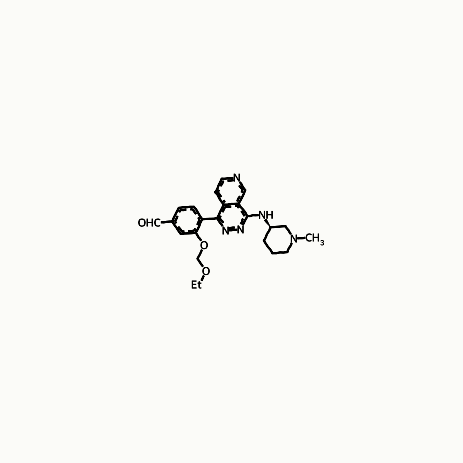 CCOCOc1cc(C=O)ccc1-c1nnc(N[C@@H]2CCCN(C)C2)c2cnccc12